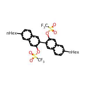 CCCCCCc1ccc2cc(-c3cc4ccc(CCCCCC)cc4cc3OS(=O)(=O)C(F)(F)F)c(OS(=O)(=O)C(F)(F)F)cc2c1